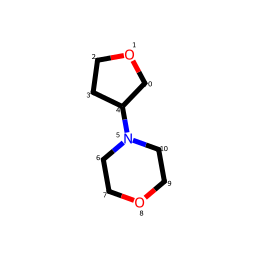 [CH]1OCCC1N1CCOCC1